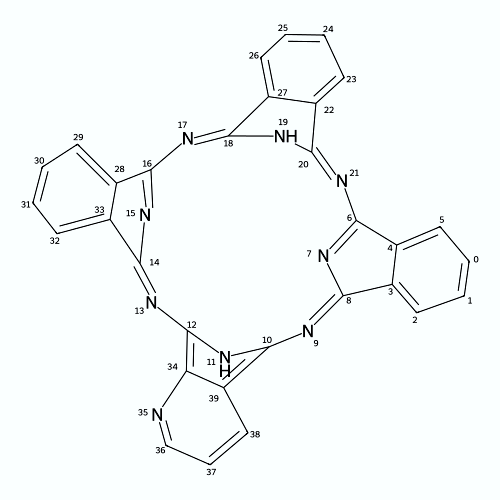 c1ccc2c(c1)-c1nc-2nc2[nH]c(nc3nc(nc4[nH]c(n1)c1ccccc41)-c1ccccc1-3)c1ncccc21